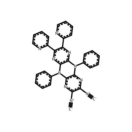 [C-]#[N+]c1nc2c(nc1[N+]#[C-])N(c1ccccc1)c1nc(-c3ccccn3)c(-c3ccccn3)nc1N2c1ccccc1